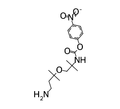 CC(C)(COC(C)(C)CCN)NC(=O)Oc1ccc([N+](=O)[O-])cc1